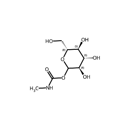 CNC(=O)OC1O[C@H](CO)[C@@H](O)[C@H](O)[C@H]1O